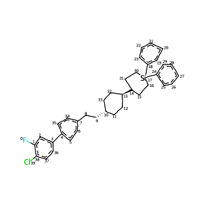 Fc1cc(-c2ccc(CC[C@H]3CC[C@H](C4CC[Si](c5ccccc5)(c5ccccc5)CC4)CC3)cc2)ccc1Cl